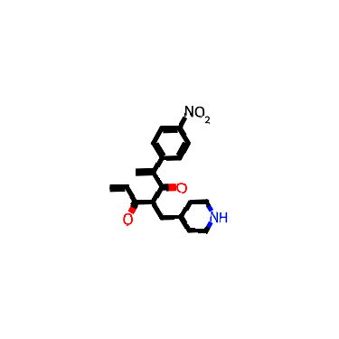 C=CC(=O)C(CC1CCNCC1)C(=O)C(=C)c1ccc([N+](=O)[O-])cc1